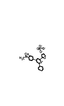 CN(C)c1ccc(-c2cc(-c3ccccc3)[s+]c(-c3ccco3)c2)cc1.[O-][Cl+3]([O-])([O-])[O-]